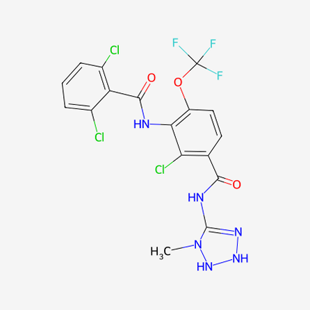 CN1NNN=C1NC(=O)c1ccc(OC(F)(F)F)c(NC(=O)c2c(Cl)cccc2Cl)c1Cl